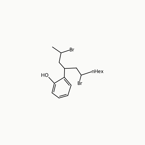 CCCCCCC(Br)CC(CC(C)Br)c1ccccc1O